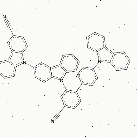 N#Cc1ccc(-c2ccc(-n3c4ccccc4c4ccccc43)cc2)c(-n2c3ccccc3c3cc(-n4c5ccccc5c5cc(C#N)ccc54)ccc32)c1